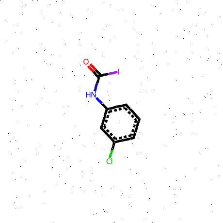 O=C(I)Nc1cccc(Cl)c1